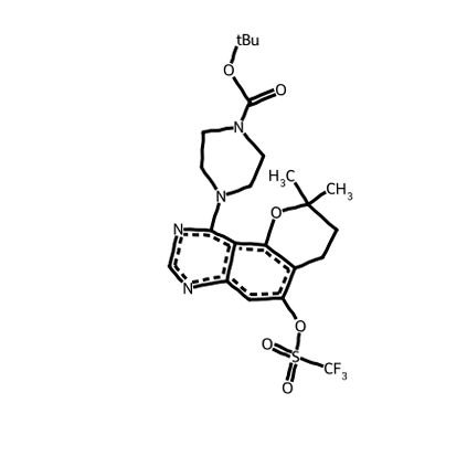 CC(C)(C)OC(=O)N1CCN(c2ncnc3cc(OS(=O)(=O)C(F)(F)F)c4c(c23)OC(C)(C)CC4)CC1